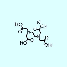 O=C(O)CN(CCN(CC(=O)O)CC(=O)O)CC(=O)O.[K]